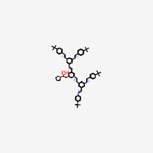 CC(C)(C)c1ccc(/C=C/c2cc(/C=C/c3ccc(C(C)(C)C)cc3)cc(/C=C/c3cc(/C=C/c4cc(/C=C/c5ccc(C(C)(C)C)cc5)cc(/C=C/c5ccc(C(C)(C)C)cc5)c4)cc(CC(O)C4CCCC4)c3)c2)cc1